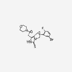 O=C(Cc1[nH]c(=S)n2c1C1C[C@]1(c1cc(Br)ccc1F)C2)N1CCOCC1